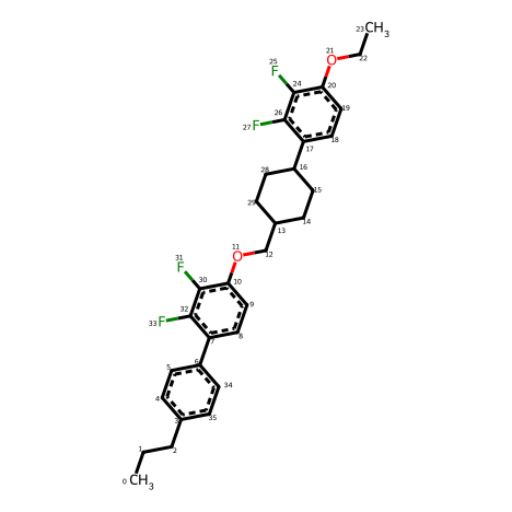 CCCc1ccc(-c2ccc(OCC3CCC(c4ccc(OCC)c(F)c4F)CC3)c(F)c2F)cc1